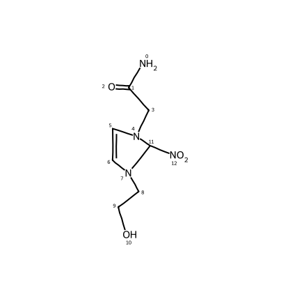 NC(=O)CN1C=CN(CCO)C1[N+](=O)[O-]